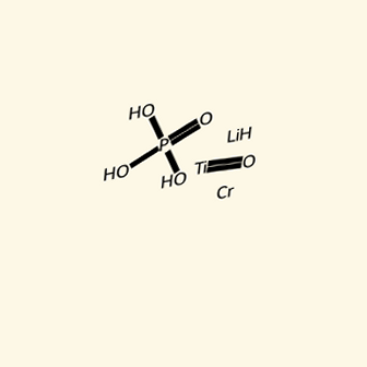 O=P(O)(O)O.[Cr].[LiH].[O]=[Ti]